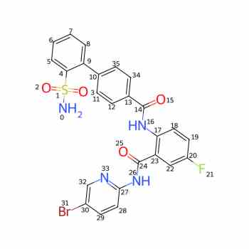 NS(=O)(=O)c1ccccc1-c1ccc(C(=O)Nc2ccc(F)cc2C(=O)Nc2ccc(Br)cn2)cc1